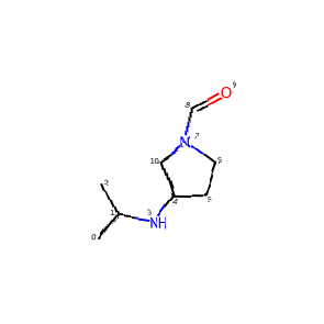 CC(C)NC1CCN(C=O)C1